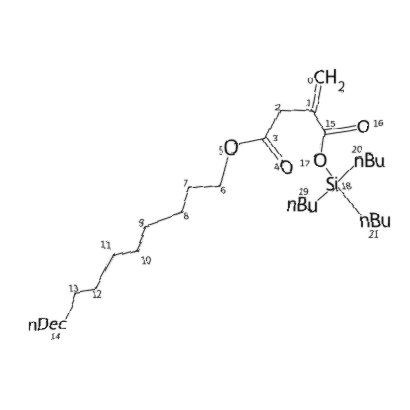 C=C(CC(=O)OCCCCCCCCCCCCCCCCCC)C(=O)O[Si](CCCC)(CCCC)CCCC